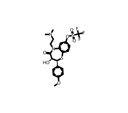 COc1ccc([C@@H]2Sc3ccc(OS(=O)(=O)C(F)(F)F)cc3N(CCN(C)C)C(=O)[C@@H]2O)cc1